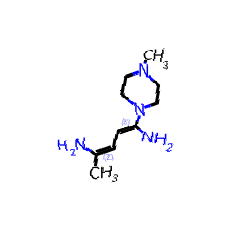 C/C(N)=C/C=C(\N)N1CCN(C)CC1